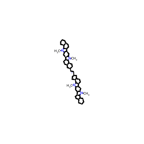 Cn1c2cc3c4ccc5cc(/C=C/c6ccc7c(ccc8c9cc%10c(cc9n(C)c78)c7ccc8ccccc8c7n%10C)c6)ccc5c4n(C)c3cc2c2ccc3ccccc3c21